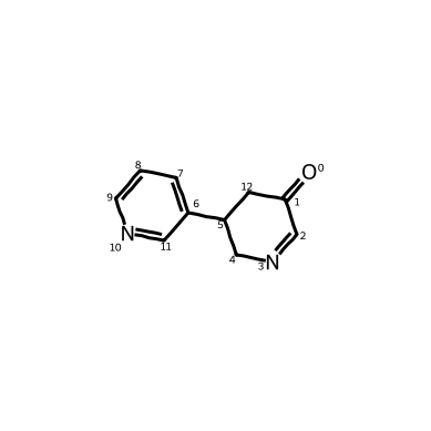 O=C1C=NCC(c2cccnc2)C1